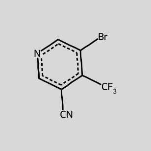 N#Cc1cncc(Br)c1C(F)(F)F